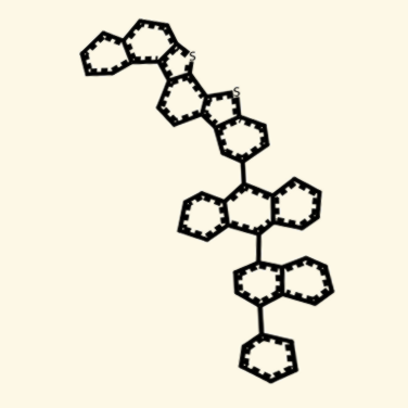 c1ccc(-c2ccc(-c3c4ccccc4c(-c4ccc5sc6c(ccc7c6sc6ccc8ccccc8c67)c5c4)c4ccccc34)c3ccccc23)cc1